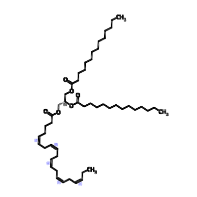 CC/C=C\C/C=C\C/C=C\C/C=C\C/C=C\CCCC(=O)OC[C@H](COC(=O)CCCCCCCCCCCCC)OC(=O)CCCCCCCCCCCCC